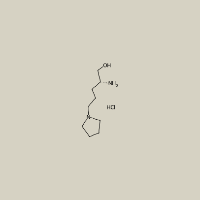 Cl.N[C@@H](CO)CCCN1CCCC1